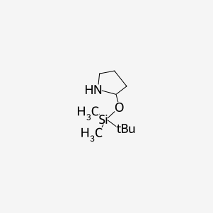 CC(C)(C)[Si](C)(C)OC1CCCN1